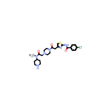 CN(C(=O)CN1CCN(C(=O)Cc2csc(NC(=O)c3ccc(Cl)cc3)n2)CC1)C1CCNCC1